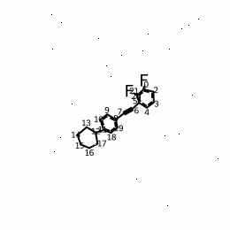 Fc1cccc(C#Cc2ccc(C3CCCCC3)cc2)c1F